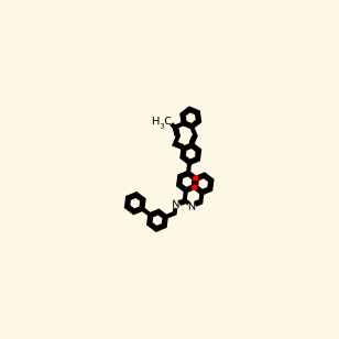 C\C1=C/C=c2/cc(-c3ccc(C(/N=C\c4ccccc4)=N/Cc4cccc(-c5ccccc5)c4)cc3)cc/c2=C/c2ccccc21